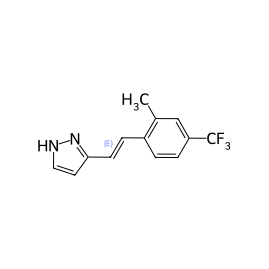 Cc1cc(C(F)(F)F)ccc1/C=C/c1cc[nH]n1